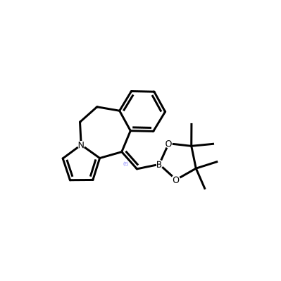 CC1(C)OB(/C=C2\c3ccccc3CCn3cccc32)OC1(C)C